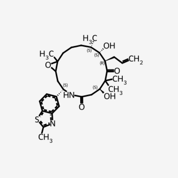 C=CC[C@H]1C(=O)C(C)(C)[C@@H](O)CC(=O)N[C@H](c2ccc3sc(C)nc3c2)CC2OC2(C)CCC[C@H](C)[C@@H]1O